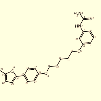 NC(=S)Nc1cccc(OCCCCCOc2ccc(-c3ccc(Cl)s3)cc2)c1